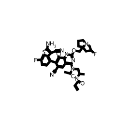 C=CC(=O)N1CC(C)N(c2nc(OCC34CCCN3CC(F)C4)nc3c(Cl)c(-c4ccc(F)c5sc(N)c(C#N)c45)c(C#N)cc23)CC1C